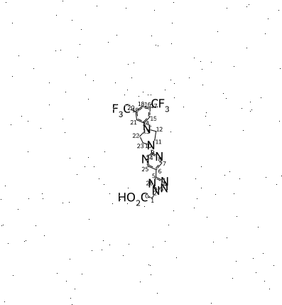 O=C(O)Cn1nnc(-c2cnc(N3CCN(c4cc(C(F)(F)F)cc(C(F)(F)F)c4)CC3)nc2)n1